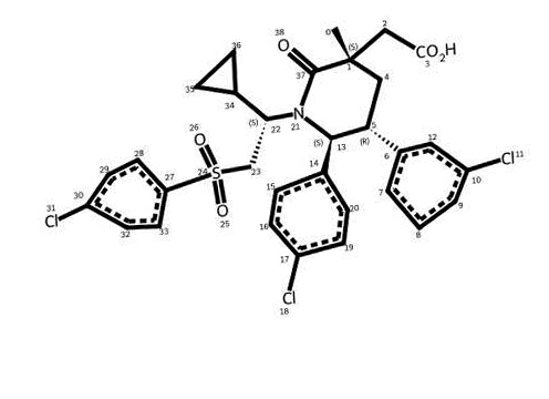 C[C@@]1(CC(=O)O)C[C@H](c2cccc(Cl)c2)[C@@H](c2ccc(Cl)cc2)N([C@H](CS(=O)(=O)c2ccc(Cl)cc2)C2CC2)C1=O